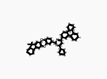 CC1(C)c2ccccc2-c2cc3c(cc21)Oc1ccc(-c2nc(-c4ccccc4)cc(-c4ccc5c6ccccc6c6ccccc6c5c4)n2)cc1O3